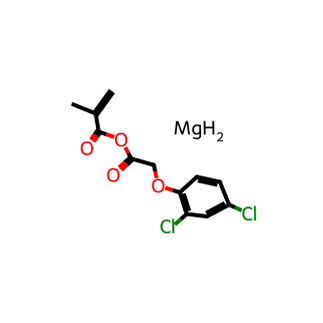 C=C(C)C(=O)OC(=O)COc1ccc(Cl)cc1Cl.[MgH2]